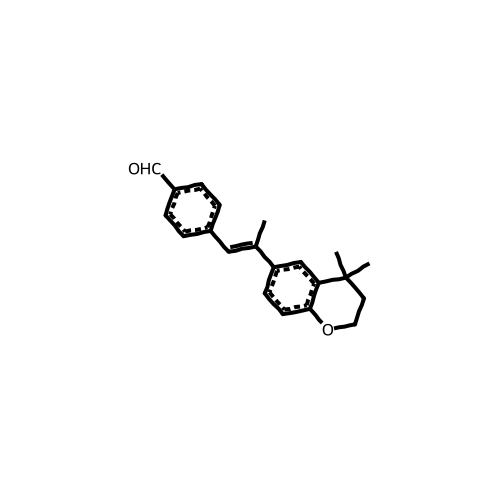 CC(=Cc1ccc(C=O)cc1)c1ccc2c(c1)C(C)(C)CCO2